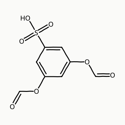 O=COc1cc(OC=O)cc(S(=O)(=O)O)c1